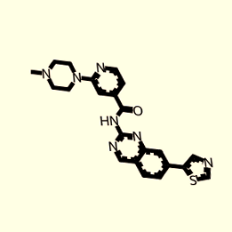 CN1CCN(c2cc(C(=O)Nc3ncc4ccc(-c5cncs5)cc4n3)ccn2)CC1